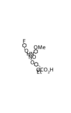 CCOC(Cc1ccc(OCCN(CCCOCc2ccc(F)cc2)C(=O)Nc2cccc(OC)c2)cc1)C(=O)O